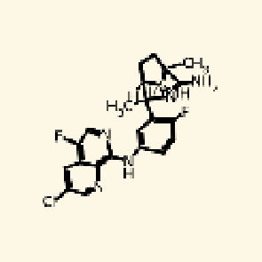 C[C@]1(c2cc(Nc3ncc(F)c4cc(Cl)cnc34)ccc2F)N=C(N)[C@@]2(C)CC[C@@H]1S2(O)O